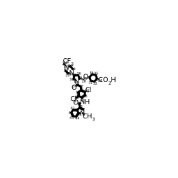 Cn1cc(C(=O)Nc2cc(Cl)c(CC(=O)N3C[C@@H](N4CCN(CC(F)(F)F)CC4)C[C@H]3CO[C@H]3CC[C@H](C(=O)O)CC3)cc2Cl)c2ccccc21